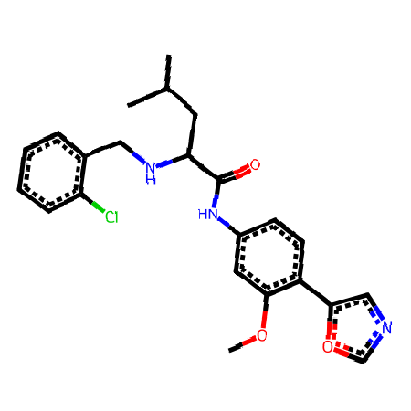 COc1cc(NC(=O)C(CC(C)C)NCc2ccccc2Cl)ccc1-c1cnco1